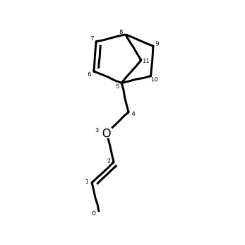 CC=COCC12C=CC(CC1)C2